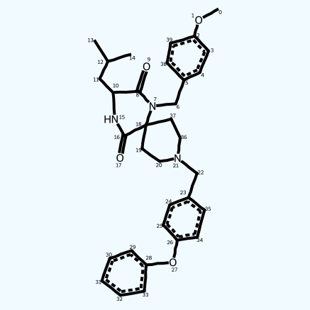 COc1ccc(CN2C(=O)C(CC(C)C)NC(=O)C23CCN(Cc2ccc(Oc4ccccc4)cc2)CC3)cc1